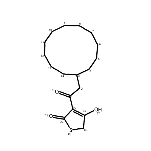 O=C(CC1CCCCCCCCCCC1)C1=C(O)CSC1=O